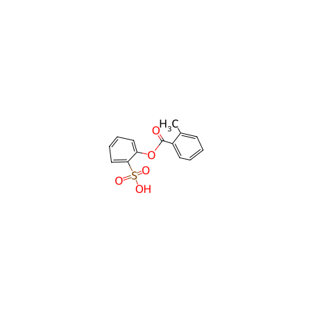 Cc1ccccc1C(=O)Oc1ccccc1S(=O)(=O)O